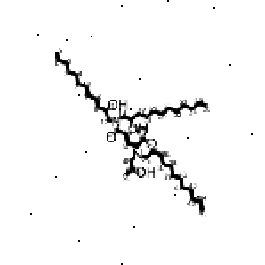 CCCCCCCCCCC(O)CN(CC(O)CCCCCCCCCC)C(=O)CCC1C(=O)OC(CCCCCCCCCC)CN1CC(C)O